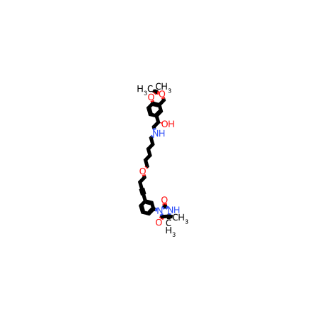 CC1(C)OCc2cc([C@H](O)CNCCCCCCOCCC#Cc3cccc(N4C(=O)NC(C)(C)C4=O)c3)ccc2O1